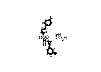 O=C(O)O.O=S(=O)(N[C@@H]1C[C@H]1c1cccc(Br)c1)c1ccc(-c2ccc(Cl)cc2)s1